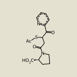 CC(=O)SC(CC(=O)N1CCC[C@H]1C(=O)O)C(=O)c1ccccn1